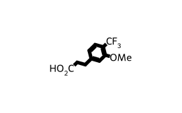 COc1cc(CCC(=O)O)ccc1C(F)(F)F